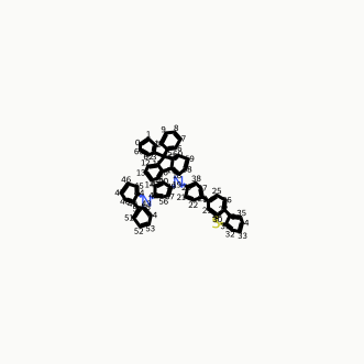 c1ccc(C2(c3ccccc3)c3ccccc3-c3c(N(c4ccc(-c5ccc6c(c5)sc5ccccc56)cc4)c4ccc(-n5c6ccccc6c6ccccc65)cc4)cccc32)cc1